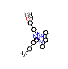 [2H]C([2H])([2H])Oc1ccc(-c2ccc(-c3nc(-c4ccc(-c5ccc(C)cc5)cc4)nc(-n4c5ccccc5c5ccc6c7ccccc7n(-c7ccccc7)c6c54)n3)cc2)cc1